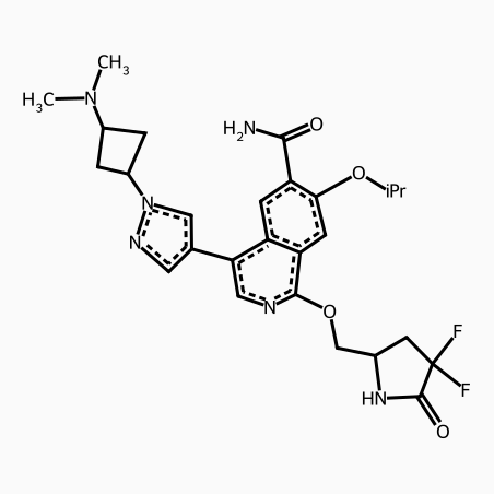 CC(C)Oc1cc2c(OCC3CC(F)(F)C(=O)N3)ncc(-c3cnn(C4CC(N(C)C)C4)c3)c2cc1C(N)=O